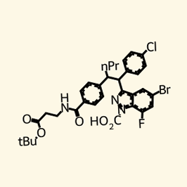 CCCC(c1ccc(C(=O)NCCC(=O)OC(C)(C)C)cc1)C(c1ccc(Cl)cc1)c1nn(C(=O)O)c2c(F)cc(Br)cc12